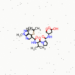 Cc1nn(C)c2ncc(C(=O)NC(C(=O)N3CCC[C@H]3C(=O)NC(C=O)CC(=O)O)C(C)C)c(SC(C)C)c12